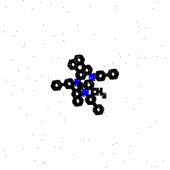 Cc1cc(-c2ccccc2)ccc1N1c2ccc(N(c3ccc(-c4ccccc4)cc3)c3ccc(-c4ccccc4)cc3)cc2B2c3c(cc4ccccc4c31)-c1cc(-c3ccccc3)ccc1N2c1cccc(-c2ccccc2)c1